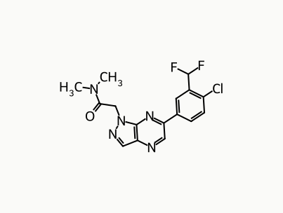 CN(C)C(=O)Cn1ncc2ncc(-c3ccc(Cl)c(C(F)F)c3)nc21